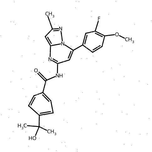 COc1ccc(-c2cc(NC(=O)c3ccc(C(C)(C)O)cc3)nc3cc(C)nn23)cc1F